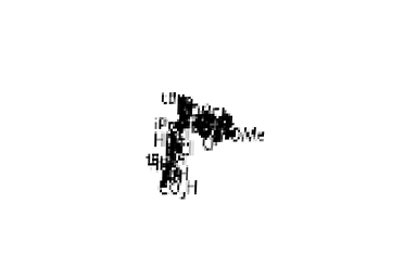 CC(C)Oc1cc(-n2nc(C(C)(C)C)oc2=O)c(Cl)cc1Cl.CC1COc2ccccc2N1C(=O)C(Cl)Cl.CCNc1nc(Cl)nc(NC(C)(C)C)n1.CCc1cccc(C)c1N(C(=O)CCl)C(C)COC.O=C(O)CNCP(=O)(O)O